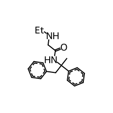 CCNCC(=O)NC(C)(Cc1ccccc1)c1ccccc1